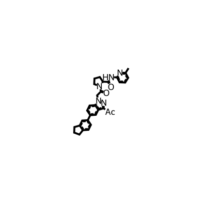 CC(=O)c1nn(CC(=O)N2CCCC2C(=O)Nc2cccc(C)n2)c2ccc(-c3ccc4c(c3)CCC4)cc12